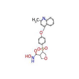 Cc1cc(COc2ccc(S(=O)(=O)C3COCC3C(=O)NO)cc2)c2ccccc2n1